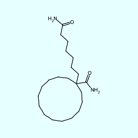 NC(=O)CCCCCCC1(C(N)=O)CCCCCCCCCCCCC1